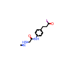 C=NNCC(=O)Nc1ccc(CCC(=O)I)cc1